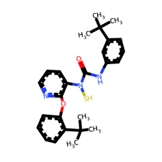 CC(C)(C)c1cccc(NC(=O)N(S)c2cccnc2Oc2ccccc2C(C)(C)C)c1